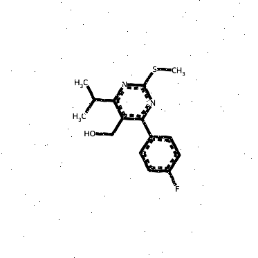 CSc1nc(-c2ccc(F)cc2)c(CO)c(C(C)C)n1